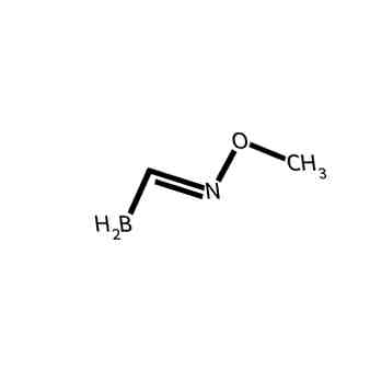 BC=NOC